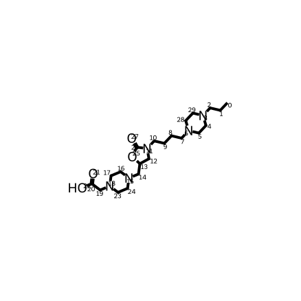 CCCN1CCN(CCCCN2CC(CN3CCN(CC(=O)O)CC3)OC2=O)CC1